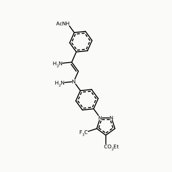 CCOC(=O)c1cnn(-c2ccc(N(N)/C=C(\N)c3cccc(NC(C)=O)c3)cc2)c1C(F)(F)F